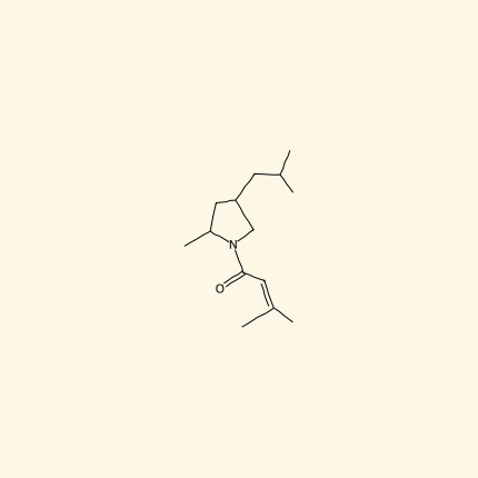 CC(C)=CC(=O)N1CC(CC(C)C)CC1C